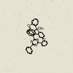 OC1(c2ccc(Cl)cc2-c2ccccc2-c2nc(-c3ccccc3)nc(-c3ccccc3)n2)c2ccccc2Oc2ccccc21